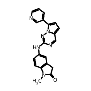 CN1C(=O)Cc2cc(Nc3ncc4ccc(-c5cccnc5)n4n3)ccc21